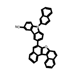 N#Cc1ccc2c(c1)c1cc(-c3cc4ccccc4c4c3oc3ccc5ccccc5c34)ccc1n2-c1ccc2ccccc2c1